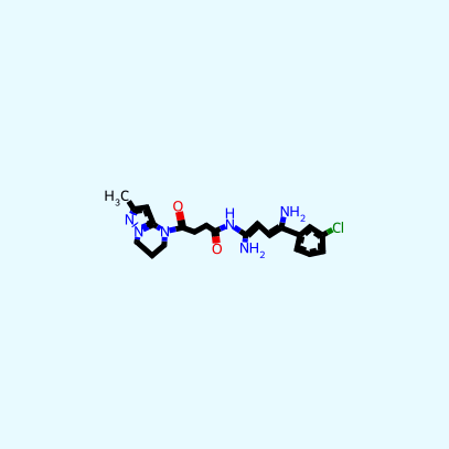 Cc1cc2n(n1)CCCN2C(=O)CCC(=O)N/C(N)=C/C=C(\N)c1cccc(Cl)c1